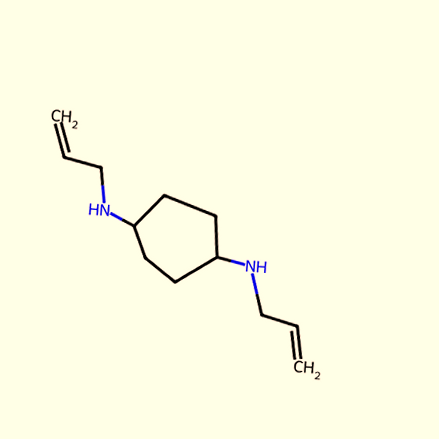 C=CCNC1CCC(NCC=C)CC1